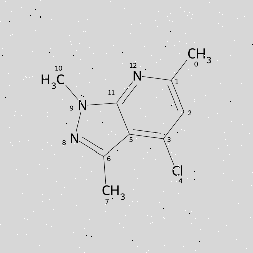 Cc1cc(Cl)c2c(C)nn(C)c2n1